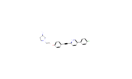 NC1CCN(CCOc2ccc(C#Cc3ccc(-c4ccc(Cl)cc4)cn3)cc2)C1